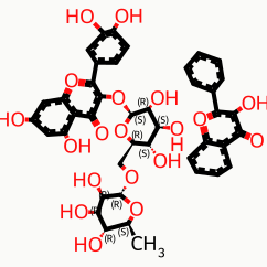 C[C@@H]1O[C@@H](OC[C@H]2O[C@@H](Oc3c(-c4ccc(O)c(O)c4)oc4cc(O)cc(O)c4c3=O)[C@H](O)[C@@H](O)[C@@H]2O)[C@H](O)[C@H](O)[C@H]1O.O=c1c(O)c(-c2ccccc2)oc2ccccc12